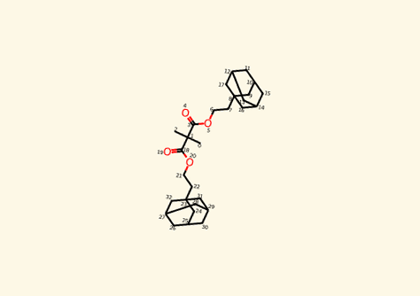 CC(C)(C(=O)OCCC12CC3CC(CC(C3)C1)C2)C(=O)OCCC12CC3CC(CC(C3)C1)C2